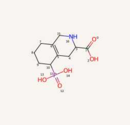 O=C(O)C1CC2=C(CCCC2P(=O)(O)O)CN1